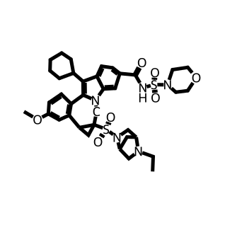 CCN1CC2CC1CN2S(=O)(=O)C12CC1c1cc(OC)ccc1-c1c(C3CCCCC3)c3ccc(C(=O)NS(=O)(=O)N4CCOCC4)cc3n1C2